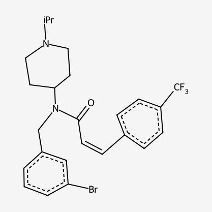 CC(C)N1CCC(N(Cc2cccc(Br)c2)C(=O)C=Cc2ccc(C(F)(F)F)cc2)CC1